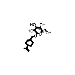 C=C(C)C1CC=C(COC2O[C@H](CO)[C@@H](O)[C@H](O)[C@H]2O)CC1